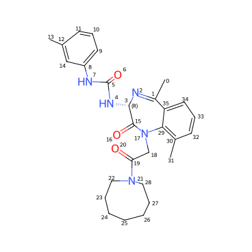 CC1=N[C@@H](NC(=O)Nc2cccc(C)c2)C(=O)N(CC(=O)N2CCCCCCC2)c2c(C)cccc21